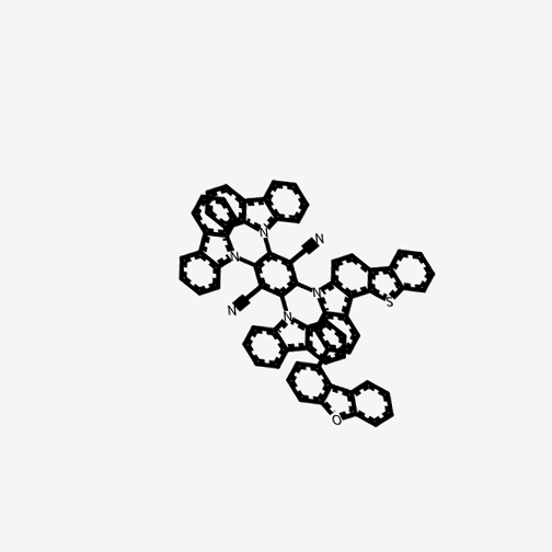 N#Cc1c(-n2c3ccccc3c3ccccc32)c(-n2c3ccccc3c3ccccc32)c(C#N)c(-n2c3cc(-c4cccc5oc6ccccc6c45)ccc3c3c4sc5ccccc5c4ccc32)c1-n1c2ccccc2c2ccccc21